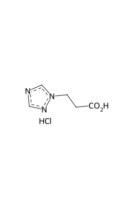 Cl.O=C(O)CCn1cncn1